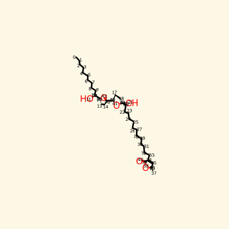 CCCCCCCCCC[C@H](O)[C@H]1CC[C@H]([C@H]2CC[C@H]([C@H](O)CCCCCCCCCCCCC3=C[C@@H](C)OC3=O)O2)O1